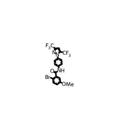 COc1ccc(Br)c(C(=O)Nc2ccc(-n3nc(C(F)(F)F)cc3C(F)(F)F)cc2)c1